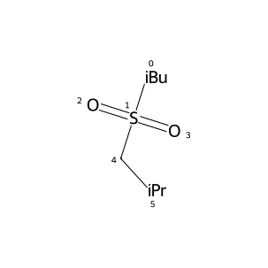 [CH2]C(CC)S(=O)(=O)CC(C)C